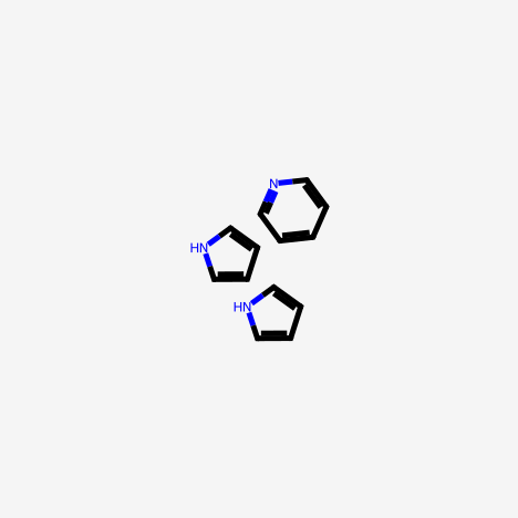 c1cc[nH]c1.c1cc[nH]c1.c1ccncc1